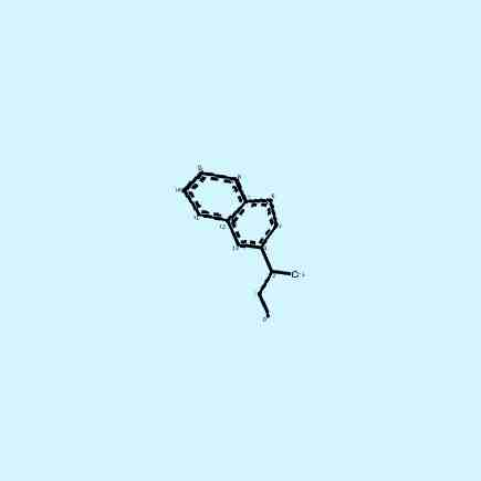 CCC([O])c1ccc2ccccc2c1